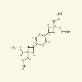 SCSC1(SCS)CC(C2CSC(C3CC(SCS)(SCS)S3)CS2)S1